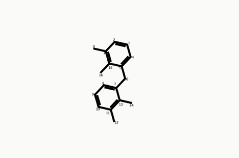 Cc1cccc([CH]c2cccc(C)c2C)c1C